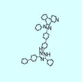 c1ccc(-c2ccc(C3=NC(c4ccccc4)NC(c4ccc(-c5ccc(-c6nc7c8cnccc8c8ccccc8c7n6-c6ccccc6)cc5)cc4)N3)cc2)cc1